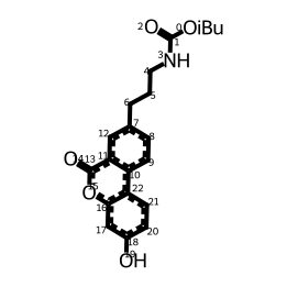 CC(C)COC(=O)NCCCc1ccc2c(c1)c(=O)oc1cc(O)ccc12